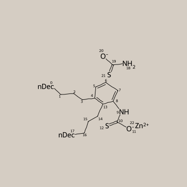 CCCCCCCCCCCCCc1cccc(NC([O-])=S)c1CCCCCCCCCCCCC.NC([O-])=S.[Zn+2]